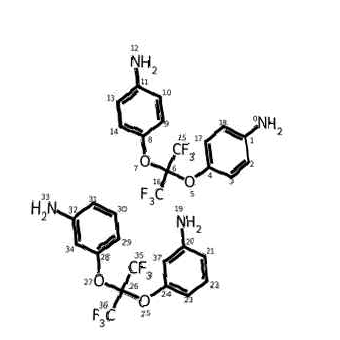 Nc1ccc(OC(Oc2ccc(N)cc2)(C(F)(F)F)C(F)(F)F)cc1.Nc1cccc(OC(Oc2cccc(N)c2)(C(F)(F)F)C(F)(F)F)c1